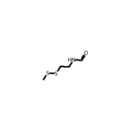 CSSCCNC=O